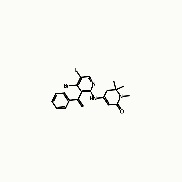 C=C(c1ccccc1)c1c(NC2=CC(=O)N(C)C(C)(C)C2)ncc(I)c1Br